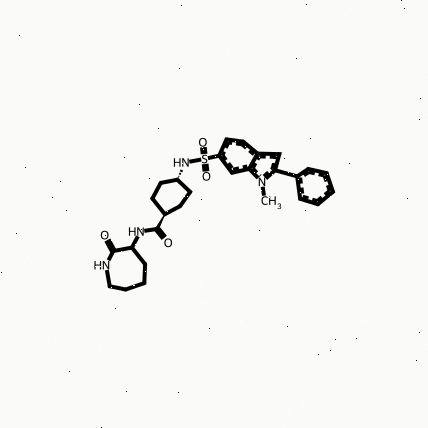 Cn1c(-c2ccccc2)cc2ccc(S(=O)(=O)N[C@H]3CC[C@H](C(=O)NC4CCCCNC4=O)CC3)cc21